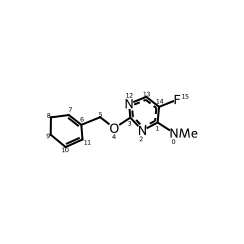 CNc1nc(OCC2=CCCC=C2)ncc1F